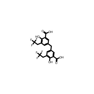 O=C(O)c1cc(Cc2cc(CC(F)(F)F)c(O)c(C(=O)O)c2)cc(CC(F)(F)F)c1O